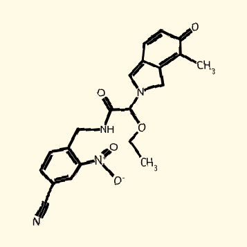 CCOC(C(=O)NCc1ccc(C#N)cc1[N+](=O)[O-])N1C=C2C=CC(=O)C(C)=C2C1